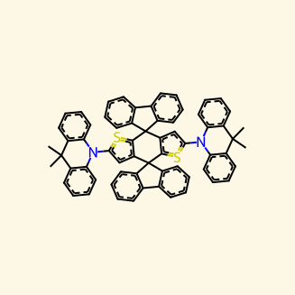 CC1(C)c2ccccc2N(c2cc3c(s2)C2(c4ccccc4-c4ccccc42)c2cc(N4c5ccccc5C(C)(C)c5ccccc54)sc2C32c3ccccc3-c3ccccc32)c2ccccc21